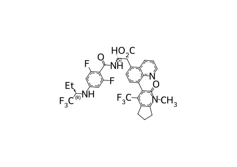 CC[C@@H](Nc1cc(F)c(C(=O)N[C@@H](Cc2ccc(-c3c(C(F)(F)F)c4c(n(C)c3=O)CCC4)c3ncccc23)C(=O)O)c(F)c1)C(F)(F)F